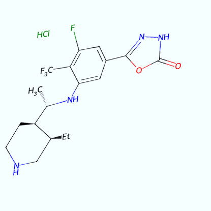 CC[C@H]1CNCC[C@H]1[C@H](C)Nc1cc(-c2n[nH]c(=O)o2)cc(F)c1C(F)(F)F.Cl